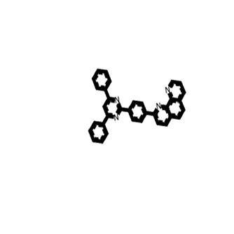 c1ccc(-c2cc(-c3ccccc3)nc(-c3ccc(-c4ccc5ccc6cccnc6c5n4)cc3)n2)cc1